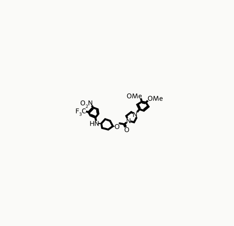 COc1ccc(N2CCN(C(=O)CO[C@H]3CC[C@H](Nc4ccc([N+](=O)[O-])c(C(F)(F)F)c4)CC3)CC2)cc1OC